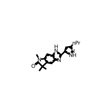 CCCc1cc(-c2nc3cc4c(cc3[nH]2)N(C)C(=O)C4(C)C)[nH]n1